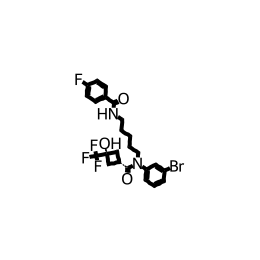 O=C(NCCCCCN(c1cccc(Br)c1)C(=O)[C@H]1C[C@](O)(C(F)(F)F)C1)c1ccc(F)cc1